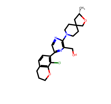 C[C@H]1CC2(CCN(c3ncc(-c4ccc5c(c4Cl)OCCC5)nc3CO)CC2)CO1